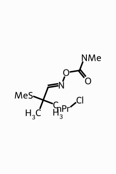 CCCCl.CNC(=O)O/N=C/C(C)(C)SC